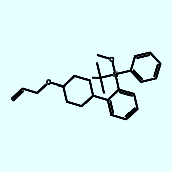 C=CCOC1CCC(c2ccccc2[Si](OC)(c2ccccc2)C(C)(C)C)CC1